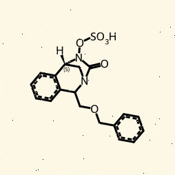 O=C1N2C[C@H](c3ccccc3C2COCc2ccccc2)N1OS(=O)(=O)O